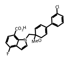 COC1(Cn2ccc3c(F)ccc(C(=O)O)c32)C=CC(c2cccc(Cl)c2)=CC1